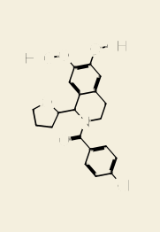 COc1cc2c(cc1OC)C(C1CCCO1)N(C(=O)c1ccc(Cl)cc1)CC2